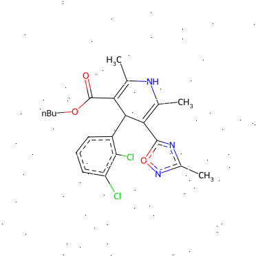 CCCCOC(=O)C1=C(C)NC(C)=C(c2nc(C)no2)C1c1cccc(Cl)c1Cl